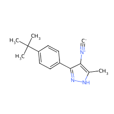 [C-]#[N+]c1c(-c2ccc(C(C)(C)C)cc2)n[nH]c1C